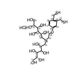 Cl.OC[C@@H](O)[C@@H](O)[C@H](O)[C@@H](O)CN(CCOc1ccc(CS)c(CS)c1)C[C@H](O)[C@@H](O)[C@H](O)[C@H](O)CO